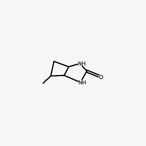 CC1CC2NC(=O)NC12